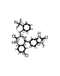 Cn1c(=O)[nH]c2cc(C3=NC(Cc4ccccc4C(F)(F)F)C(=O)Nc4ccc(Cl)cc43)ccc21